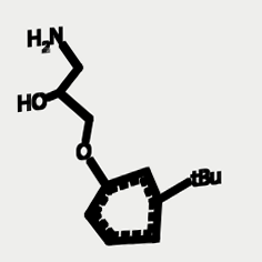 CC(C)(C)c1cccc(OCC(O)CN)c1